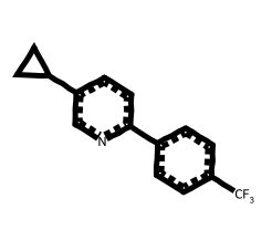 FC(F)(F)c1ccc(-c2ccc(C3CC3)cn2)cc1